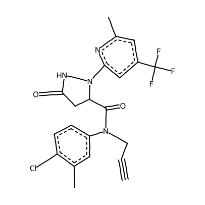 C#CCN(C(=O)C1CC(=O)NN1c1cc(C(F)(F)F)cc(C)n1)c1ccc(Cl)c(C)c1